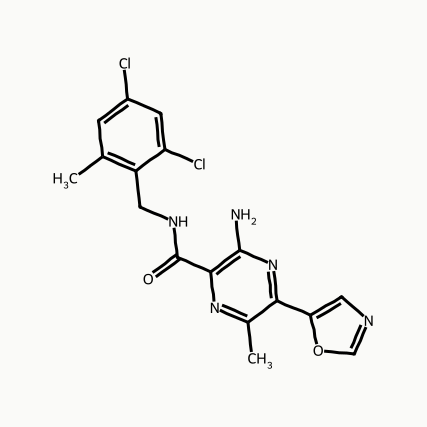 Cc1cc(Cl)cc(Cl)c1CNC(=O)c1nc(C)c(-c2cnco2)nc1N